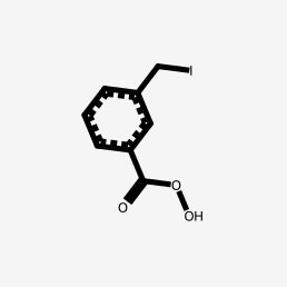 O=C(OO)c1cccc(CI)c1